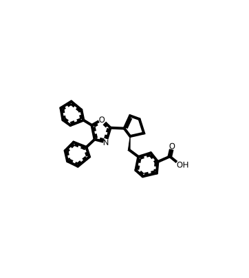 O=C(O)c1cccc(C[C@@H]2CCC=C2c2nc(-c3ccccc3)c(-c3ccccc3)o2)c1